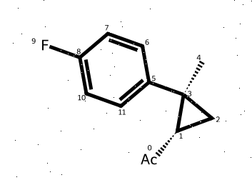 CC(=O)[C@H]1C[C@]1(C)c1ccc(F)cc1